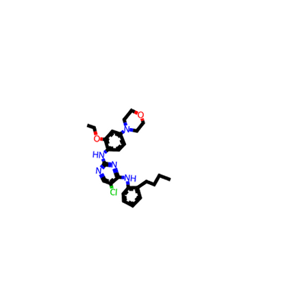 CCCCc1ccccc1Nc1nc(Nc2ccc(N3CCOCC3)cc2OCC)ncc1Cl